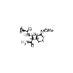 CON=C1CCCc2c1sc(NC(=O)C1CC1)c2C(N)=O